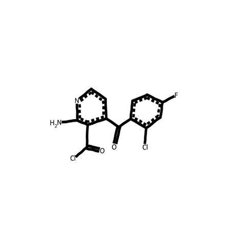 Nc1nccc(C(=O)c2ccc(F)cc2Cl)c1C(=O)Cl